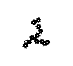 c1cc(-c2ccc(N(c3cccc(-c4ccc5c(ccc6ccccc65)c4)c3)c3cccc(-c4ccc5c(c4)oc4ccccc45)c3)cc2)cc(-c2ccc(-n3c4ccccc4c4ccccc43)cc2)c1